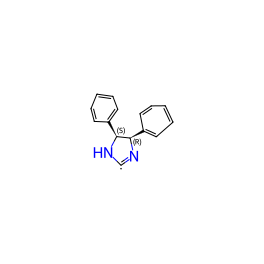 [C]1=N[C@H](c2ccccc2)[C@H](c2ccccc2)N1